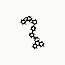 c1cc(-c2ccc(-c3cccc4c3oc3c4ccc4oc5ccccc5c43)cc2)cc(-c2cnc3c4ccccc4c4ccccc4c3n2)c1